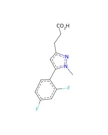 Cn1nc(CCC(=O)O)cc1-c1ccc(F)cc1F